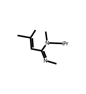 C/N=C(/C=C(C)C)N(C)C(C)C